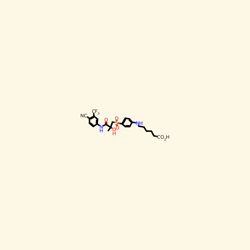 CC(O)(CS(=O)(=O)c1ccc(NCCCCCC(=O)O)cc1)C(=O)Nc1ccc(C#N)c(C(F)(F)F)c1